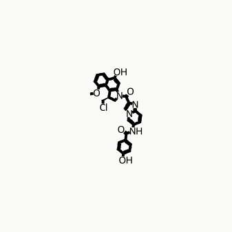 COc1cccc2c(O)cc3c(c12)[C@H](CCl)CN3C(=O)c1cn2cc(NC(=O)c3ccc(O)cc3)ccc2n1